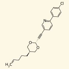 C=CCCC[C@H]1CO[C@H](C#Cc2ccc(-c3ccc(Cl)cc3)nc2)OC1